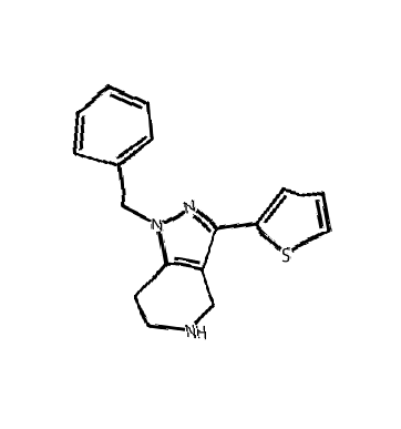 c1ccc(Cn2nc(-c3cccs3)c3c2CCNC3)cc1